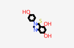 Oc1ccc(-n2cnc3cc(O)cc(O)c3c2=S)cc1